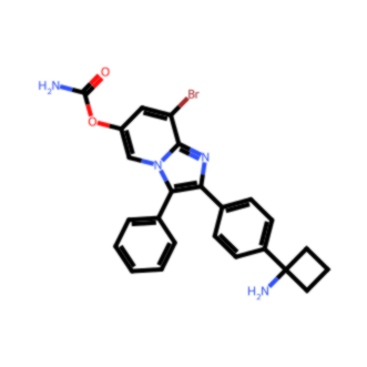 NC(=O)Oc1cc(Br)c2nc(-c3ccc(C4(N)CCC4)cc3)c(-c3ccccc3)n2c1